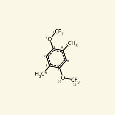 Cc1cc(OC(F)(F)F)c(C)cc1OC(F)(F)F